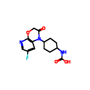 O=C(O)NC1CCC(N2C(=O)COc3ncc(F)cc32)CC1